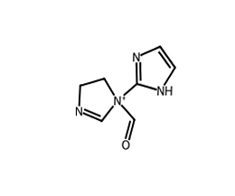 O=C[N+]1(c2ncc[nH]2)C=NCC1